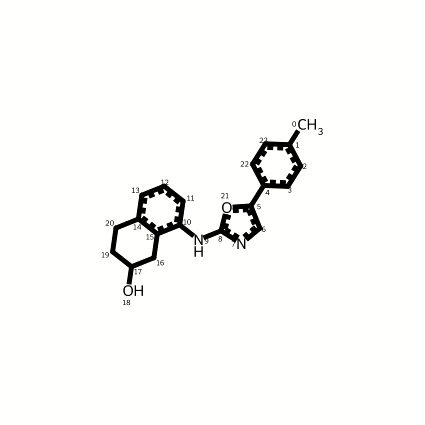 Cc1ccc(-c2cnc(Nc3cccc4c3CC(O)CC4)o2)cc1